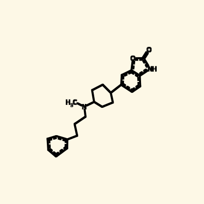 CN(CCCc1ccccc1)C1CCC(c2ccc3[nH]c(=O)oc3c2)CC1